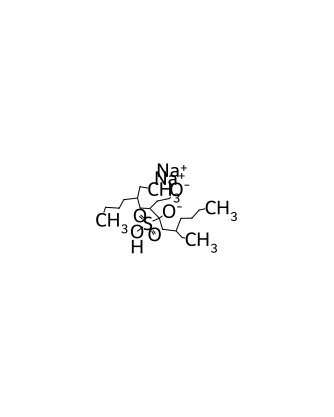 CCCCC(CC)CC(CC[O-])C([O-])(CC(CC)CCCC)S(=O)(=O)O.[Na+].[Na+]